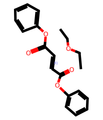 CCOCC.O=C(/C=C/C(=O)Oc1ccccc1)Oc1ccccc1